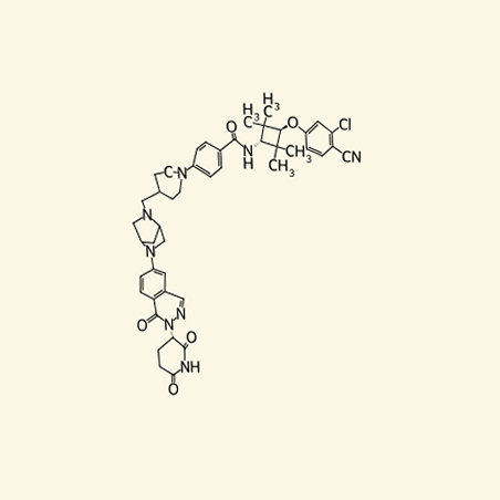 CC1(C)[C@H](NC(=O)c2ccc(N3CCC(CN4CC5CC4CN5c4ccc5c(=O)n([C@H]6CCC(=O)NC6=O)ncc5c4)CC3)cc2)C(C)(C)[C@H]1Oc1ccc(C#N)c(Cl)c1